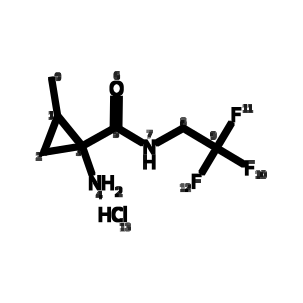 CC1CC1(N)C(=O)NCC(F)(F)F.Cl